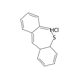 C1=CC2C=c3ccccc3=CSC2C=C1.Cl